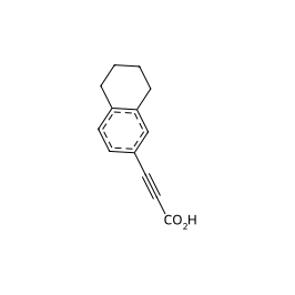 O=C(O)C#Cc1ccc2c(c1)CCCC2